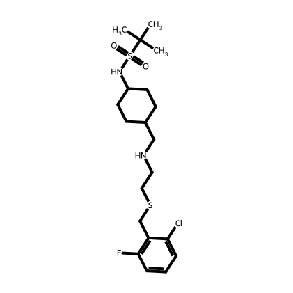 CC(C)(C)S(=O)(=O)NC1CCC(CNCCSCc2c(F)cccc2Cl)CC1